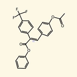 CC(=O)Oc1ccc(/C=C(/C(=O)Oc2ccccc2)c2ccc(C(F)(F)F)cc2)cc1